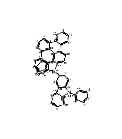 c1ccc(-c2cccc(-c3ccccc3)c2-c2cccc3c2c2ccccc2n3-c2ccc3c(c2)c2ccccc2n3-c2ccccc2)cc1